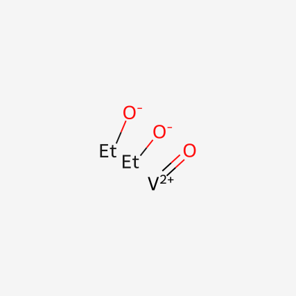 CC[O-].CC[O-].[O]=[V+2]